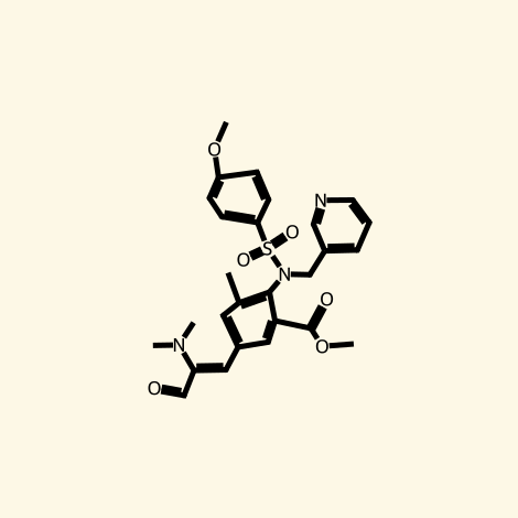 COC(=O)c1cc(C=C(C=O)N(C)C)cc(C)c1N(Cc1cccnc1)S(=O)(=O)c1ccc(OC)cc1